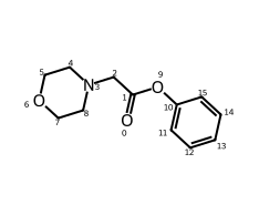 O=C(CN1CCOCC1)Oc1ccccc1